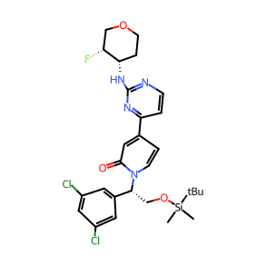 CC(C)(C)[Si](C)(C)OC[C@H](c1cc(Cl)cc(Cl)c1)n1ccc(-c2ccnc(N[C@H]3CCOC[C@H]3F)n2)cc1=O